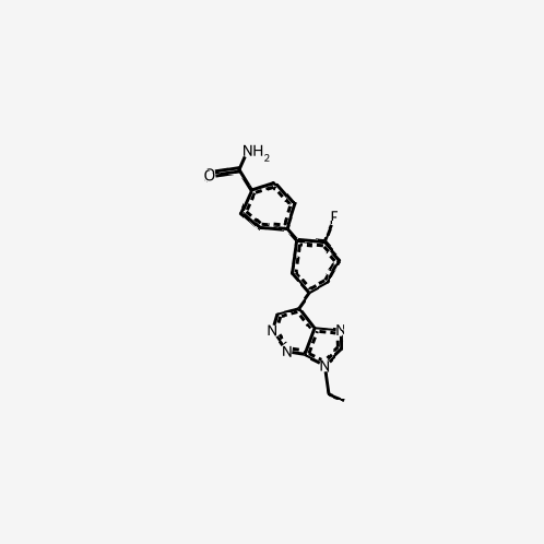 CCn1cnc2c(-c3ccc(F)c(-c4ccc(C(N)=O)cc4)c3)cnnc21